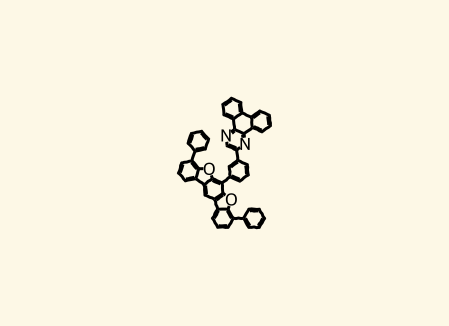 c1ccc(-c2cccc3c2oc2c(-c4cccc(-c5cnc6c7ccccc7c7ccccc7c6n5)c4)c4oc5c(-c6ccccc6)cccc5c4cc23)cc1